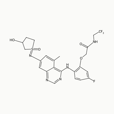 Cc1cc(N=S2(=O)CCC(O)C2)cc2ncnc(Nc3ccc(F)cc3OCC(=O)NCC(F)(F)F)c12